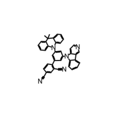 CC1(C)c2ccccc2N(c2cc(-c3ccc(C#N)cc3C#N)cc(-n3c4ccccc4c4cnccc43)c2)c2ccccc21